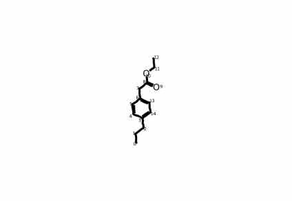 CCCc1ccc(CC(=O)OCC)cc1